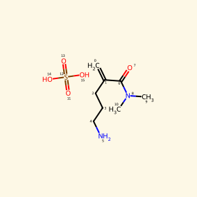 C=C(CCCN)C(=O)N(C)C.O=S(=O)(O)O